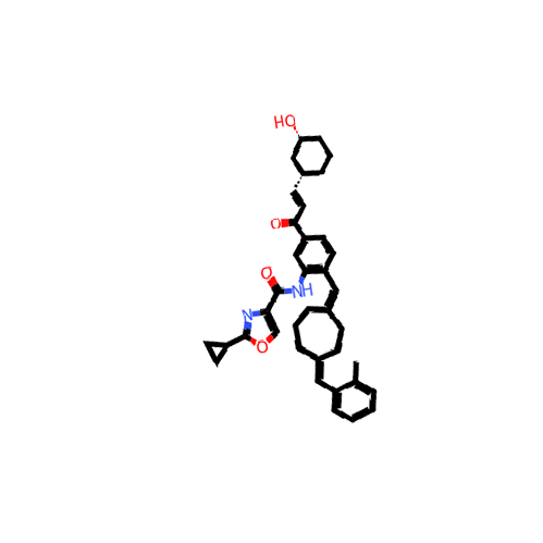 Cc1ccccc1/C=C1/CCC/C(=C\c2ccc(C(=O)/C=C/[C@H]3CCC[C@@H](O)C3)cc2NC(=O)c2coc(C3CC3)n2)CC1